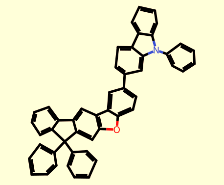 c1ccc(-n2c3ccccc3c3ccc(-c4ccc5oc6cc7c(cc6c5c4)-c4ccccc4C7(c4ccccc4)c4ccccc4)cc32)cc1